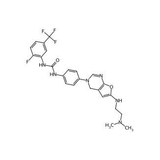 CN(C)CCNc1cc2c(o1)N=CN(c1ccc(NC(=O)Nc3cc(C(F)(F)F)ccc3F)cc1)C2